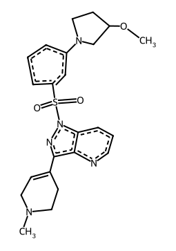 COC1CCN(c2cccc(S(=O)(=O)n3nc(C4=CCN(C)CC4)c4ncccc43)c2)C1